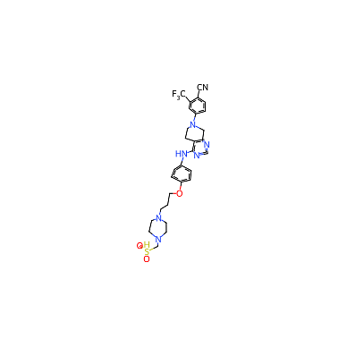 N#Cc1ccc(N2CCc3c(ncnc3Nc3ccc(OCCCN4CCN(C[SH](=O)=O)CC4)cc3)C2)cc1C(F)(F)F